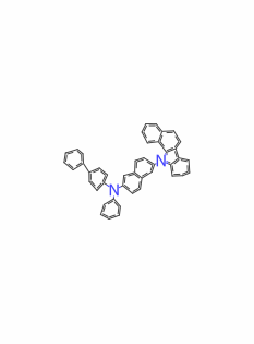 c1ccc(-c2ccc(N(c3ccccc3)c3ccc4cc(-n5c6ccccc6c6ccc7ccccc7c65)ccc4c3)cc2)cc1